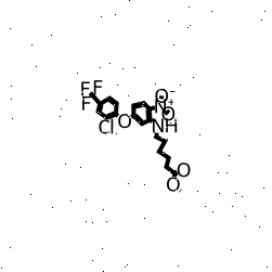 COC(=O)CCCCCNc1cc(Oc2ccc(C(F)(F)F)cc2Cl)ccc1[N+](=O)[O-]